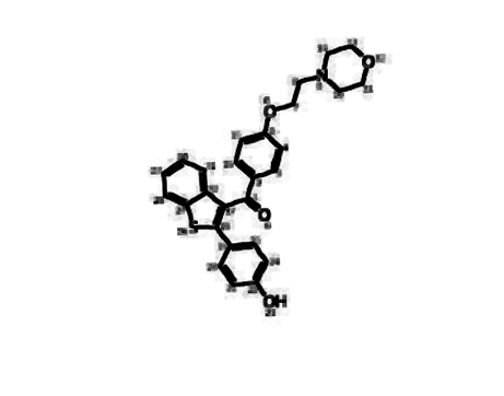 O=C(c1ccc(OCCN2CCOCC2)cc1)c1c(-c2ccc(O)cc2)sc2ccccc12